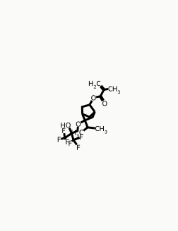 C=C(C)C(=O)OC1CC2CC1CC2(OCC(O)(C(F)(F)F)C(F)(F)F)C(C)C